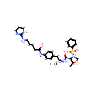 CC1OCN(S(=O)(=O)c2ccccc2)[C@@H]1C(=O)N[C@@H](Cc1ccc(NC(=O)CCCCNC2=NCCCN2)cc1)C(=O)O